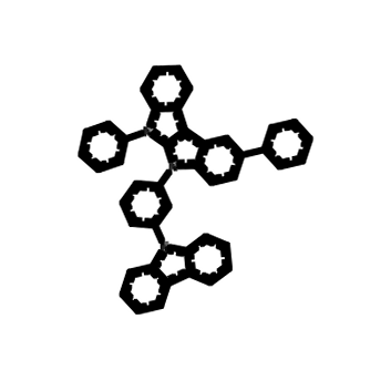 c1ccc(-c2ccc3c(c2)c2c4ccccc4n(-c4ccccc4)c2n3-c2cccc(-n3c4ccccc4c4ccccc43)c2)cc1